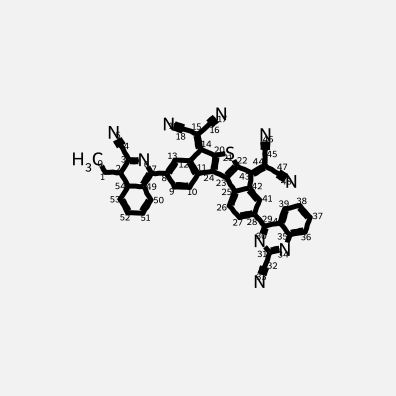 CCC1C(C#N)=NC(c2ccc3c(c2)C(=C(C#N)C#N)c2sc4c(c2-3)-c2ccc(-c3nc(C#N)nc5ccccc35)cc2C4=C(C#N)C#N)=C2C=CC=CC21